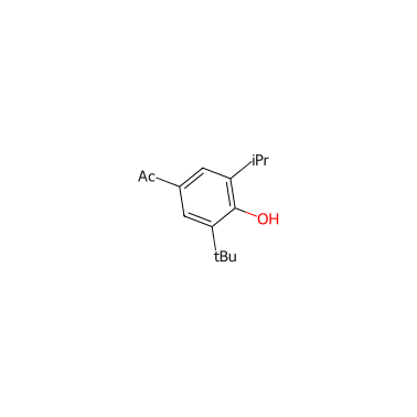 CC(=O)c1cc(C(C)C)c(O)c(C(C)(C)C)c1